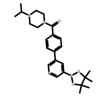 CC(C)N1CCN(C(=O)c2ccc(-c3cncc(B4OC(C)(C)C(C)(C)O4)c3)cc2)CC1